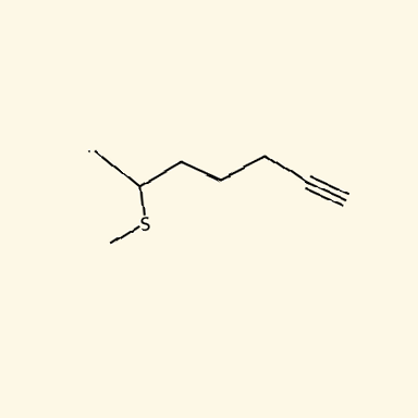 C#CCCCC([CH2])SC